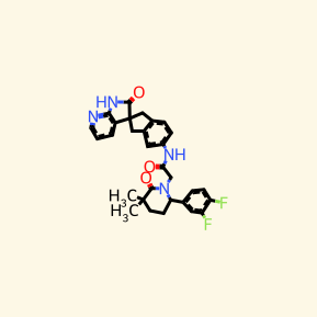 CC1(C)CCC(c2ccc(F)c(F)c2)N(CC(=O)Nc2ccc3c(c2)CC2(C3)C(=O)Nc3ncccc32)C1=O